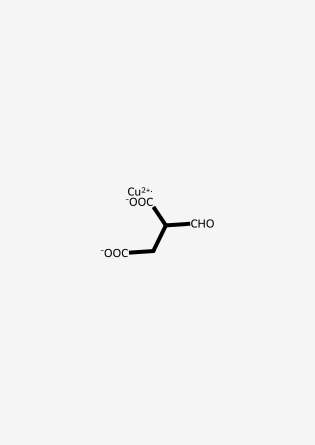 O=CC(CC(=O)[O-])C(=O)[O-].[Cu+2]